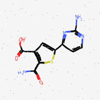 NC(=O)c1sc(-c2ccnc(N)n2)cc1C(=O)O